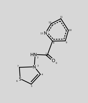 O=C(NN1C=CSC1)c1ccccn1